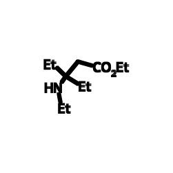 CCNC(CC)(CC)CC(=O)OCC